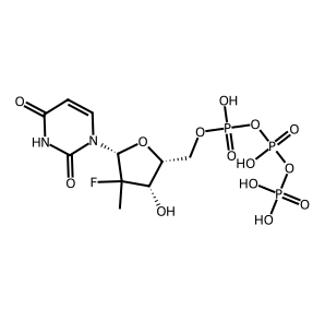 CC1(F)[C@@H](O)[C@@H](COP(=O)(O)OP(=O)(O)OP(=O)(O)O)O[C@H]1n1ccc(=O)[nH]c1=O